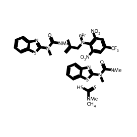 C.C=C(C)CN(CCC)c1c([N+](=O)[O-])cc(C(F)(F)F)cc1[N+](=O)[O-].CNC(=O)N(C)c1nc2ccccc2s1.CNC(=O)N(C)c1nc2ccccc2s1.CNC(=S)S